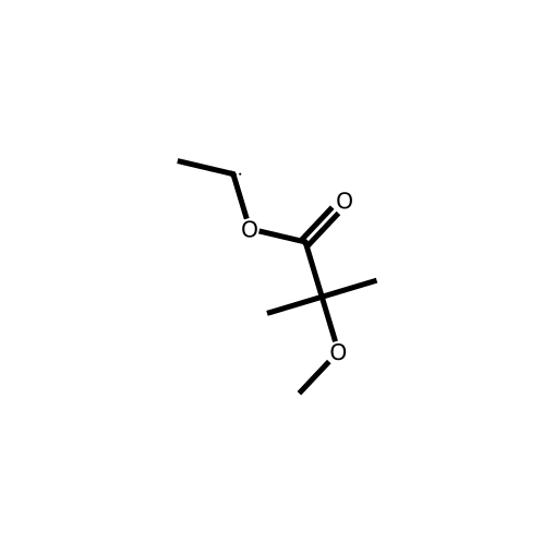 C[CH]OC(=O)C(C)(C)OC